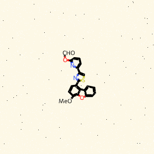 COc1ccc(-c2nc(-c3cccc(OC=O)n3)cs2)c2c1oc1ccccc12